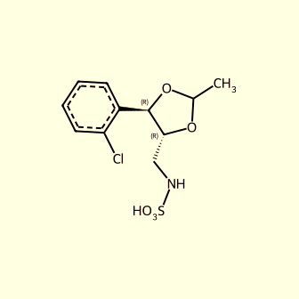 CC1O[C@H](c2ccccc2Cl)[C@@H](CNS(=O)(=O)O)O1